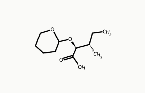 CC[C@H](C)[C@H](OC1CCCCO1)C(=O)O